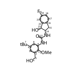 COc1c(CO)cc(C(C)(C)C)cc1NC(=O)NC1Cc2ccc(F)cc2C1O